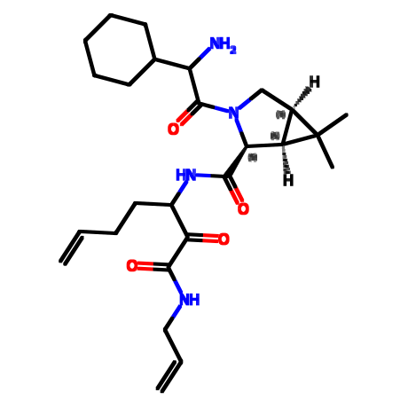 C=CCCC(NC(=O)[C@@H]1[C@H]2[C@@H](CN1C(=O)C(N)C1CCCCC1)C2(C)C)C(=O)C(=O)NCC=C